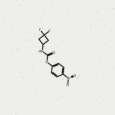 O=C(NC1CC(F)(F)C1)Oc1ccc([N+](=O)[O-])cc1